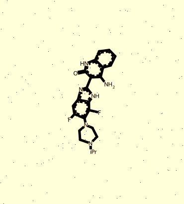 CC(C)N1CCN(c2c(F)cc3nc(-c4c(N)c5ccccc5[nH]c4=O)[nH]c3c2F)CC1